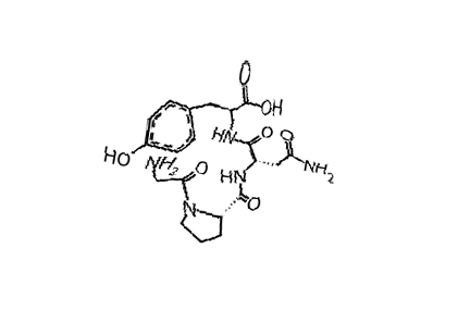 NCC(=O)N1CCC[C@H]1C(=O)N[C@@H](CC(N)=O)C(=O)N[C@@H](Cc1ccc(O)cc1)C(=O)O